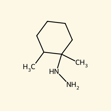 CC1CCCCC1(C)NN